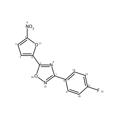 O=[N+]([O-])c1ccc(-c2nc(-c3ccc(F)cc3)no2)o1